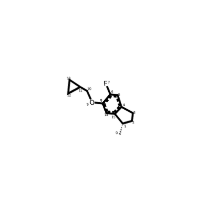 C[C@H]1CCc2cc(F)c(OCC3CC3)cc21